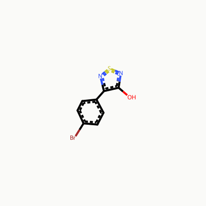 Oc1nsnc1-c1ccc(Br)cc1